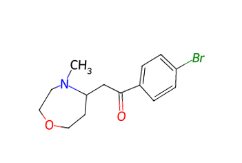 CN1CCOCCC1CC(=O)c1ccc(Br)cc1